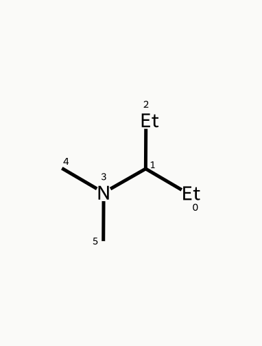 [CH2]CC(CC)N(C)C